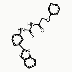 O=C(COc1ccccc1)NC(=S)Nc1cccc(-c2nc3ccccc3s2)c1